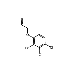 C=CCOc1ccc(Cl)c(Cl)c1Br